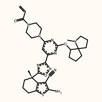 C=CC(=O)N1CCN(c2cc(-c3noc([C@@]4(C)CCCc5sc(N)c(C#N)c54)n3)nc(OC3CCCC34CCCN4C)n2)CC1